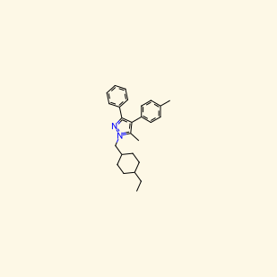 CCC1CCC(Cn2nc(-c3ccccc3)c(-c3ccc(C)cc3)c2C)CC1